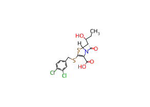 CC[C@H](O)[C@@H]1C(=O)N2C(C(=O)O)=C(SCc3ccc(Cl)c(Cl)c3)S[C@H]12